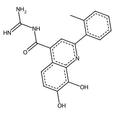 Cc1ccccc1-c1cc(C(=O)NC(=N)N)c2ccc(O)c(O)c2n1